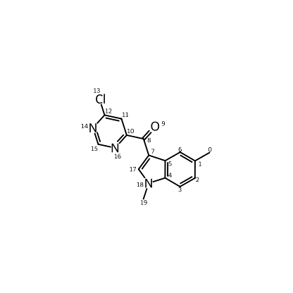 Cc1ccc2c(c1)c(C(=O)c1cc(Cl)ncn1)cn2C